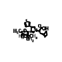 C[SiH](C)OC([C@H]1CN([C@H](CC2CCC2)C(=O)O)C[C@@H]1c1ccsc1)C(C)(C)C